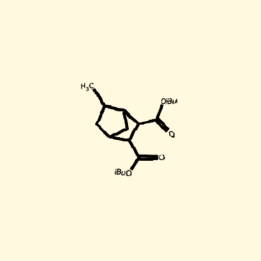 CC(C)COC(=O)C1C2CC(C)C(C2)C1C(=O)OCC(C)C